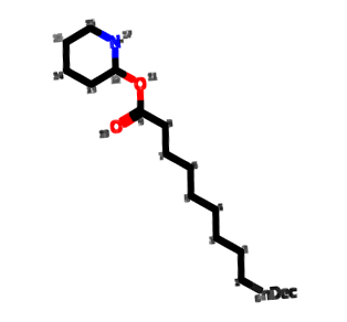 CCCCCCCCCCCCCCCCCCC(=O)OC1CCCC[N]1